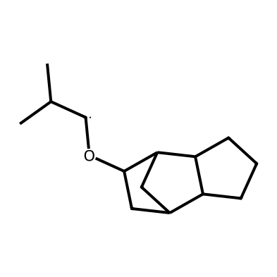 CC(C)[CH]OC1CC2CC1C1CCCC21